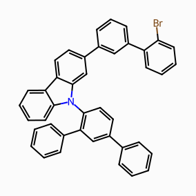 Brc1ccccc1-c1cccc(-c2ccc3c4ccccc4n(-c4ccc(-c5ccccc5)cc4-c4ccccc4)c3c2)c1